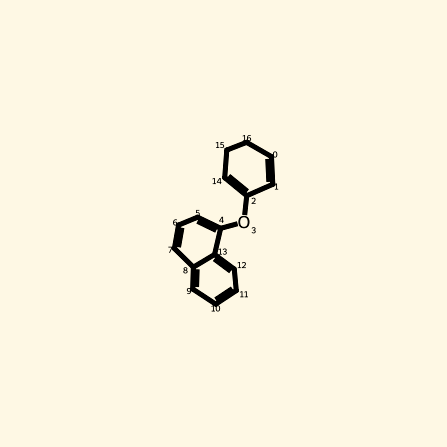 C1=CC(Oc2cccc3ccccc23)=CCC1